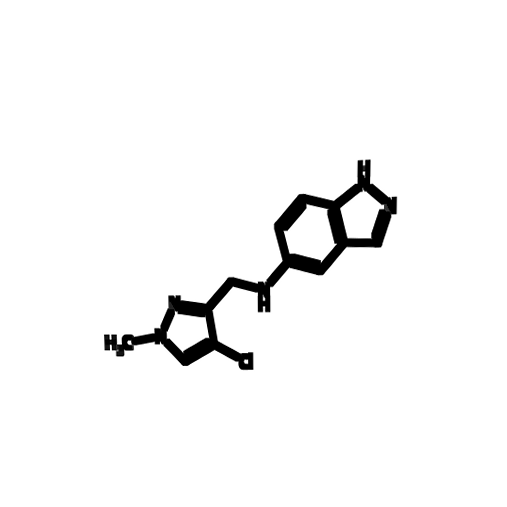 Cn1cc(Cl)c(CNc2ccc3[nH]ncc3c2)n1